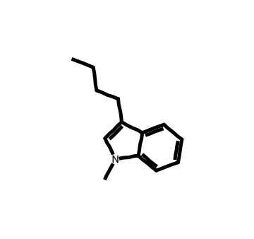 CCCCc1cn(C)c2ccccc12